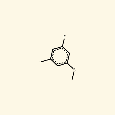 [CH2]c1cc(F)cc(SC)c1